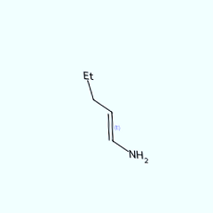 [CH2]CC/C=C/N